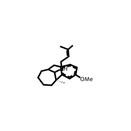 COc1ccc2c(c1)[C@@]1(C)CCCCC(C2)C1NCC=C(C)C